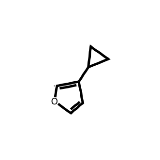 [c]1occc1C1CC1